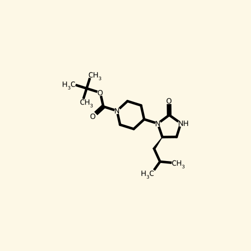 CC(C)C[C@@H]1CNC(=O)N1C1CCN(C(=O)OC(C)(C)C)CC1